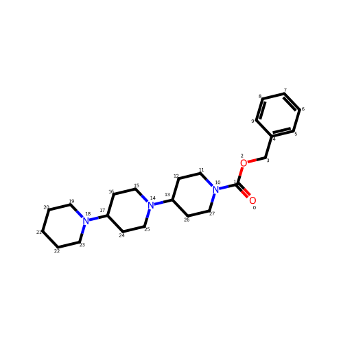 O=C(OCc1ccccc1)N1CCC(N2CCC(N3CCCCC3)CC2)CC1